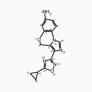 Nc1ccc2c(c1)OCc1c(-c3noc(C4CC4)n3)ncn1-2